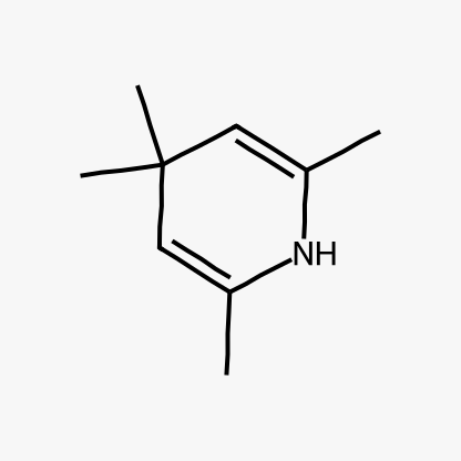 CC1=CC(C)(C)C=C(C)N1